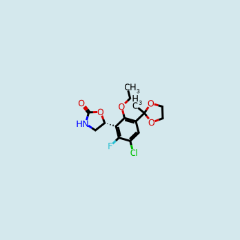 CCOc1c(C2(C)OCCO2)cc(Cl)c(F)c1[C@@H]1CNC(=O)O1